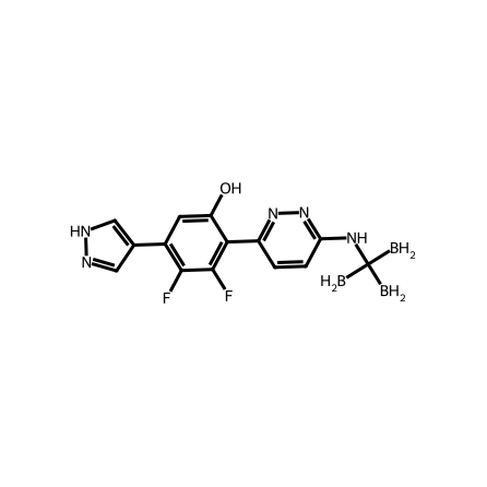 BC(B)(B)Nc1ccc(-c2c(O)cc(-c3cn[nH]c3)c(F)c2F)nn1